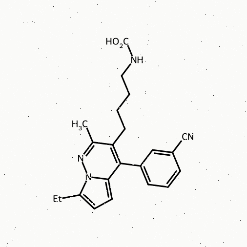 CCc1ccc2c(-c3cccc(C#N)c3)c(CCCCNC(=O)O)c(C)nn12